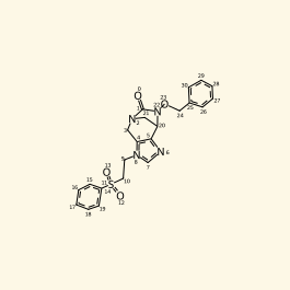 O=C1N2Cc3c(ncn3CCS(=O)(=O)c3ccccc3)C(C2)N1OCc1ccccc1